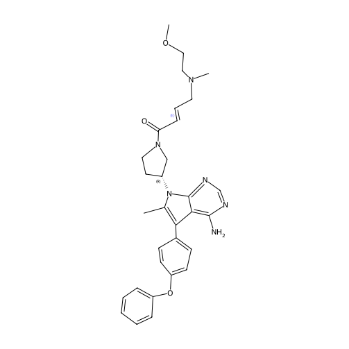 COCCN(C)C/C=C/C(=O)N1CC[C@@H](n2c(C)c(-c3ccc(Oc4ccccc4)cc3)c3c(N)ncnc32)C1